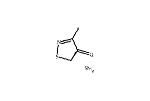 CC1=NSCC1=O.[SiH4]